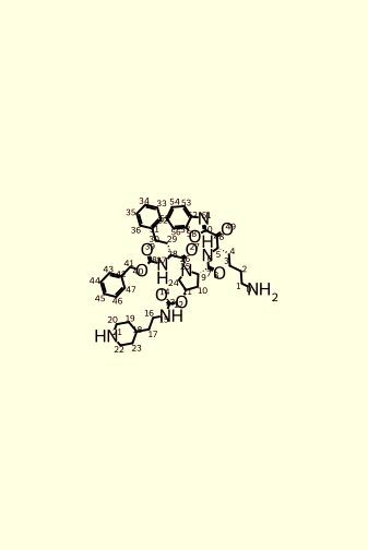 NCCCC[C@H](NC(=O)[C@@H]1C[C@@H](OC(=O)NCCC2CCNCC2)CN1C(=O)[C@@H](CCc1ccccc1)NC(=O)OCc1ccccc1)C(=O)c1nc2ccccc2o1